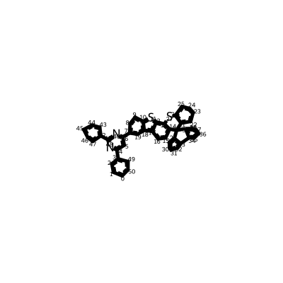 c1ccc(-c2cc(-c3ccc4sc5c6c(ccc5c4c3)C3(c4ccccc4S6)c4ccccc4-c4ccccc43)nc(-c3ccccc3)n2)cc1